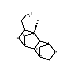 OCC1CC2C[C@H]1C1C3CCC(C3)C21